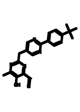 Cc1nc(Cc2cnc(-c3ccc(C(C)(C)C)cc3)nc2)nc([C]=O)c1O